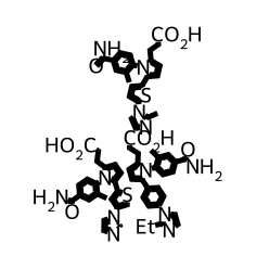 CCc1nccn1-c1ccc(-c2ccc(CCC(=O)O)n2-c2ccc(C(N)=O)cc2C)cc1.Cc1cc(C(N)=O)ccc1-n1c(CCC(=O)O)ccc1-c1cc(-n2ccnc2)cs1.Cc1cc(C(N)=O)ccc1-n1c(CCC(=O)O)ccc1-c1ccc(-n2ccnc2C)s1